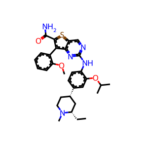 CC[C@H]1C[C@@H](c2ccc(Nc3ncc4sc(C(N)=O)c(-c5ccccc5OC)c4n3)c(OC(C)C)c2)CCN1C